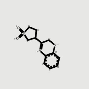 O=S1(=O)[C]C(C2=Nc3ccccc3SC2)CC1